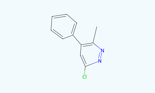 Cc1nnc(Cl)cc1-c1ccccc1